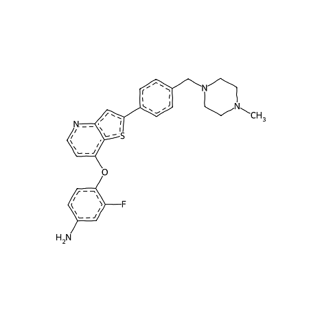 CN1CCN(Cc2ccc(-c3cc4nccc(Oc5ccc(N)cc5F)c4s3)cc2)CC1